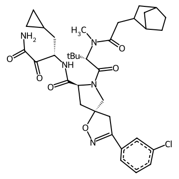 CN(C(=O)CC1CC2CCC1C2)[C@H](C(=O)N1C[C@@]2(CC(c3cccc(Cl)c3)=NO2)C[C@H]1C(=O)N[C@@H](CC1CC1)C(=O)C(N)=O)C(C)(C)C